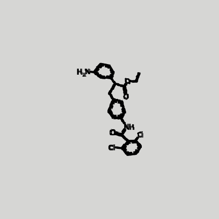 CCOC(=O)C(Cc1ccc(NC(=O)c2c(Cl)cccc2Cl)cc1)c1cccc(N)c1